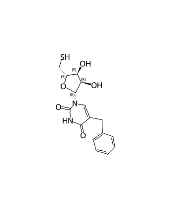 O=c1[nH]c(=O)n([C@@H]2O[C@H](CS)[C@@H](O)[C@H]2O)cc1Cc1ccccc1